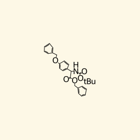 CC(C)(C)OC(=O)NC(C(=O)OCc1ccccc1)c1ccc(OCc2ccccc2)cc1